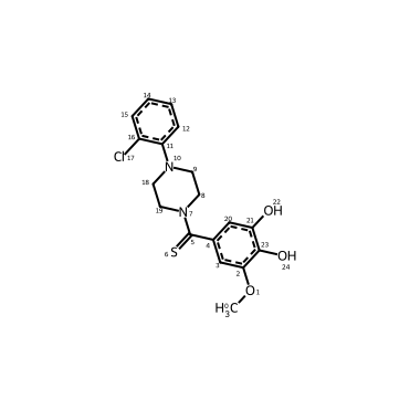 COc1cc(C(=S)N2CCN(c3ccccc3Cl)CC2)cc(O)c1O